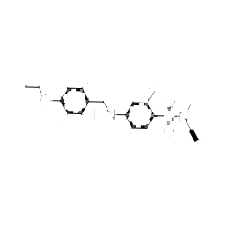 C#CN(C)S(=O)(=O)c1ccc(NCc2ccc(OCC)cc2)cc1C